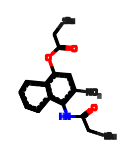 CC(C)(C)CC(=O)Nc1c([N+](=O)[O-])cc(OC(=O)CC(C)(C)C)c2ccccc12